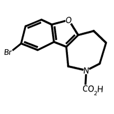 O=C(O)N1CCCc2oc3ccc(Br)cc3c2C1